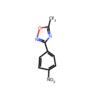 O=[N+]([O-])c1ccc(-c2noc(C(F)(F)F)n2)cc1